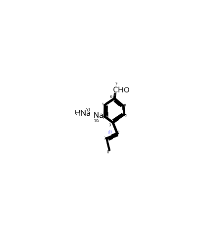 C/C=C/c1ccc(C=O)cc1.[NaH].[NaH]